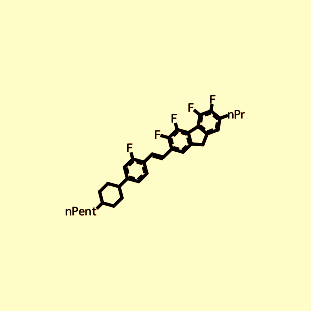 CCCCCC1CCC(c2ccc(C=Cc3cc4c(c(F)c3F)-c3c(cc(CCC)c(F)c3F)C4)c(F)c2)CC1